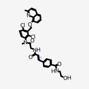 Cc1ccc2cccc(OCc3c(Cl)ccc(N(C)C(=O)CNC(=O)/C=C/c4ccc(C(=O)NCCO)cc4)c3Cl)c2n1